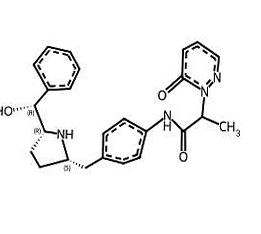 CC(C(=O)Nc1ccc(C[C@@H]2CC[C@H]([C@H](O)c3ccccc3)N2)cc1)n1ncccc1=O